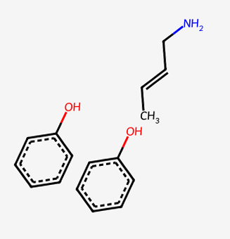 CC=CCN.Oc1ccccc1.Oc1ccccc1